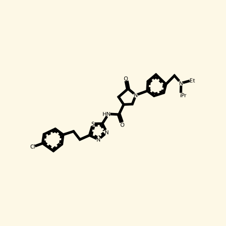 CCN(Cc1ccc(N2CC(C(=O)Nc3nnc(CCc4ccc(Cl)cc4)s3)CC2=O)cc1)C(C)C